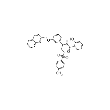 Cc1ccc(S(=O)(=O)CCC(NC(=O)c2ccccc2O)c2cccc(OCc3ccc4ccccc4n3)c2)cc1